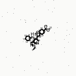 CCn1ncc2c(NC3CCCCC3)c(C3=NOC4(CCC(C(=O)OC)CC4)C3)cnc21